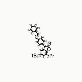 CC(C)c1cc(C(C)(C)C)cc2c1OC(=O)C2c1ccc(OCc2ccccc2)cc1